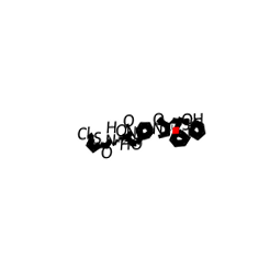 CC(C)(C[C@H]1CCN(c2ccc3c(c2)OC[C@H]2[C@H](CNC(=O)c4ccc(Cl)s4)OC(=O)N32)C1=O)[Si](O)(c1ccccc1)c1ccccc1